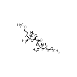 COCCC[Si](C)(C)OC(=O)C(=O)O[Si](C)(C)CCCOC